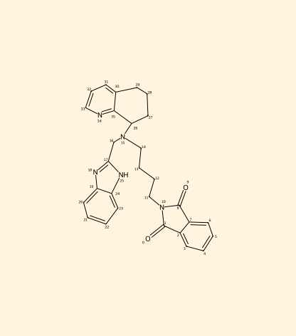 O=C1c2ccccc2C(=O)N1CCCCN(Cc1nc2ccccc2[nH]1)C1CCCc2cccnc21